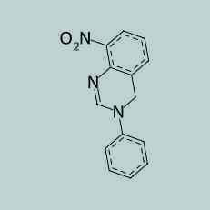 O=[N+]([O-])c1cccc2c1N=CN(c1ccccc1)C2